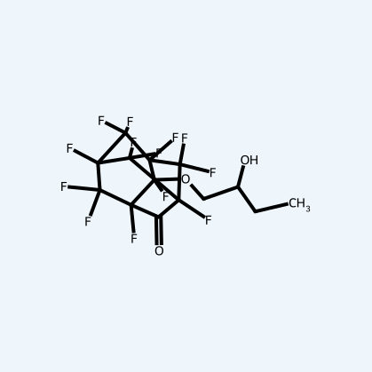 CCC(O)COC1(F)C2(F)C(=O)C3(F)C(F)(F)C(F)(C2(F)F)C(F)(F)C1(F)C3(F)F